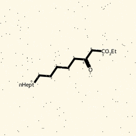 CCCCCCCCCCCCC(=O)CC(=O)OCC